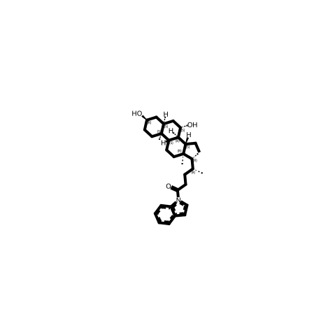 C[C@H](CCC(=O)n1ccc2ccccc21)[C@H]1CC[C@H]2[C@@H]3[C@@H](O)C[C@@H]4C[C@H](O)CC[C@]4(C)[C@H]3CC[C@]12C